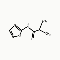 CC(C)C(=O)Nc1ncns1